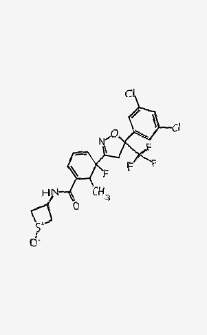 CC1C(C(=O)NC2C[S+]([O-])C2)=CC=CC1(F)C1=NOC(c2cc(Cl)cc(Cl)c2)(C(F)(F)F)C1